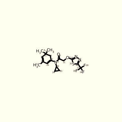 CC1=CC(C)(C)CC(N(C(=O)COc2nnc(C(F)(F)F)s2)C2CC2)=C1